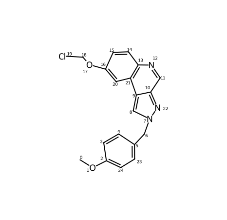 COc1ccc(Cn2cc3c(cnc4ccc(OCCl)cc43)n2)cc1